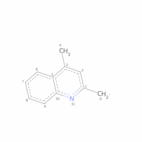 [CH2]c1cc(C)c2ccccc2n1